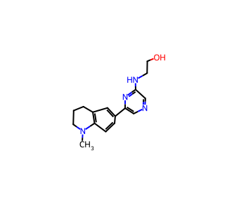 CN1CCCc2cc(-c3cncc(NCCO)n3)ccc21